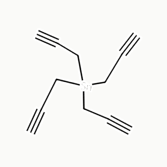 C#C[CH2][Sn]([CH2]C#C)([CH2]C#C)[CH2]C#C